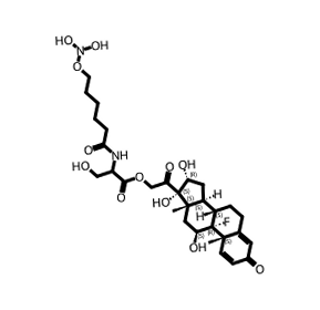 C[C@]12C=CC(=O)C=C1CC[C@H]1[C@@H]3C[C@@H](O)[C@](O)(C(=O)COC(=O)C(CO)NC(=O)CCCCCON(O)O)[C@@]3(C)C[C@H](O)[C@@]12F